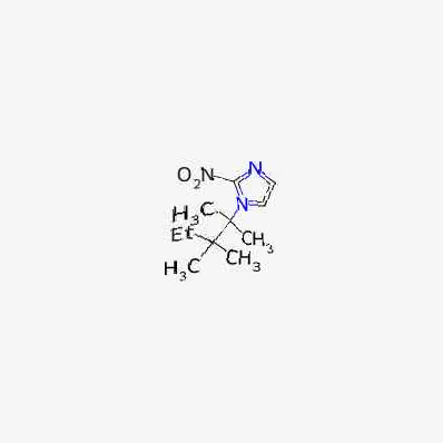 CCC(C)(C)C(C)(C)n1ccnc1[N+](=O)[O-]